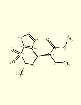 CCN(C(=O)OC)[C@H]1C[C@H](C)S(=O)(=O)c2sccc21